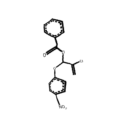 C=C(Cl)C(OC(=O)c1ccccc1)Oc1ccc([N+](=O)[O-])cc1